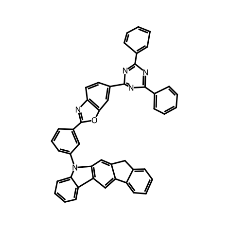 c1ccc(-c2nc(-c3ccccc3)nc(-c3ccc4nc(-c5cccc(-n6c7ccccc7c7cc8c(cc76)Cc6ccccc6-8)c5)oc4c3)n2)cc1